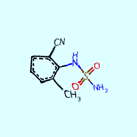 Cc1cccc(C#N)c1NS(N)(=O)=O